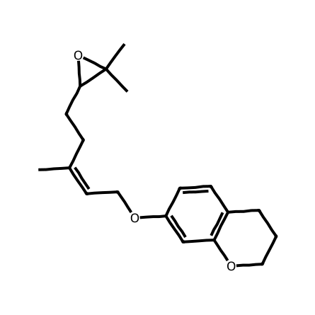 CC(=CCOc1ccc2c(c1)OCCC2)CCC1OC1(C)C